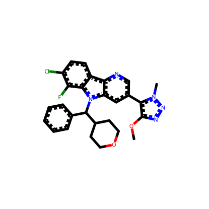 COc1nnn(C)c1-c1cnc2c3ccc(Cl)c(F)c3n(C(c3ccccc3)C3CCOCC3)c2c1